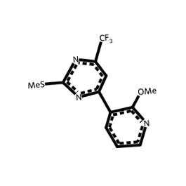 COc1ncccc1-c1cc(C(F)(F)F)nc(SC)n1